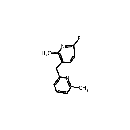 Cc1cccc(Cc2ccc(F)nc2C)n1